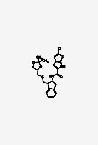 CC1(C)OC[C@@H](CSC[C@H]2c3ccccc3C[C@H]2NC(=O)c2cc3cc(Cl)sc3[nH]2)O1